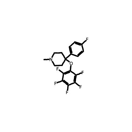 CN1CCC(Oc2c(F)c(F)c(F)c(F)c2F)(c2ccc(F)cc2)CC1